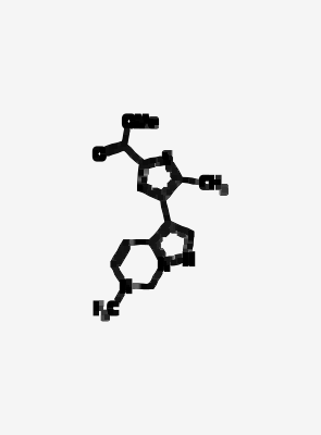 COC(=O)c1cc(-c2cnn3c2C=CN(C(F)(F)F)C3)c(C)s1